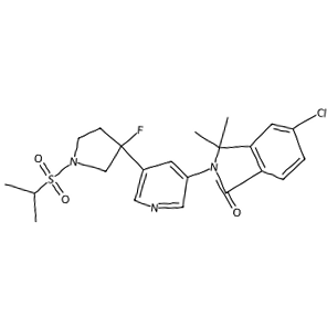 CC(C)S(=O)(=O)N1CCC(F)(c2cncc(N3C(=O)c4ccc(Cl)cc4C3(C)C)c2)C1